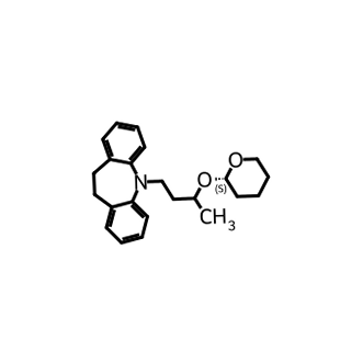 CC(CCN1c2ccccc2CCc2ccccc21)O[C@H]1CCCCO1